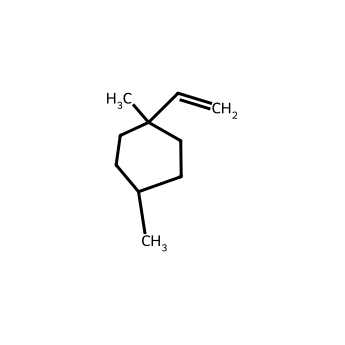 C=CC1(C)CCC(C)CC1